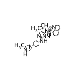 CC1CN(c2ccc(N[C@H]3N=CC4=C(N3)N(S(=O)(=O)c3cccc5cccnc35)CC4(C)C)cc2)CCN1